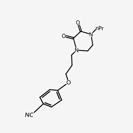 CCCN1CCN(CCCOc2ccc(C#N)cc2)C(=O)C1=O